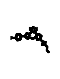 CCCC1CN(c2ccc3c(c2)Cn2cc(-c4ccc(F)cc4)cc2-c2nnnn2-3)C1